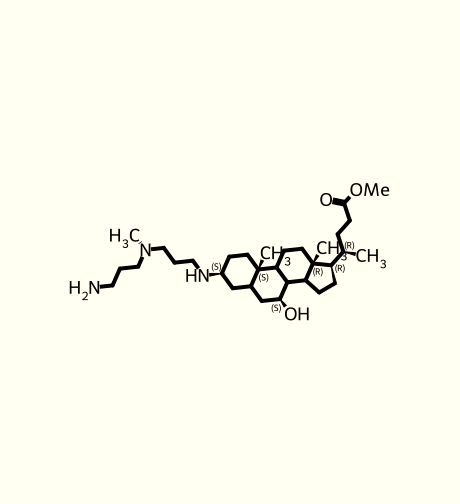 COC(=O)CC[C@@H](C)[C@H]1CCC2C3C(CC[C@@]21C)[C@@]1(C)CC[C@H](NCCCN(C)CCCN)CC1C[C@@H]3O